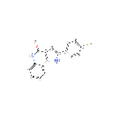 O=c1[nH]c2ccccc2c2[nH]c(-c3ccc(F)cc3)cc12